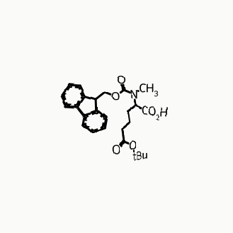 CN(C(=O)OCC1c2ccccc2-c2ccccc21)C(CCCC(=O)OC(C)(C)C)C(=O)O